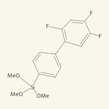 CO[Si](OC)(OC)c1ccc(-c2cc(F)c(F)cc2F)cc1